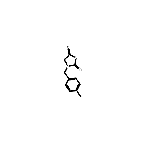 Cc1ccc(CN2CC(=O)[N]C2=O)cc1